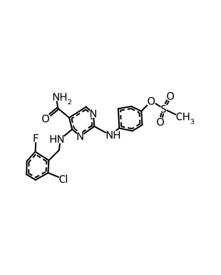 CS(=O)(=O)Oc1ccc(Nc2ncc(C(N)=O)c(NCc3c(F)cccc3Cl)n2)cc1